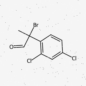 CC(Br)(C=O)c1ccc(Cl)cc1Cl